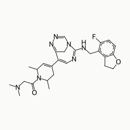 CC1C=C(C2=CN=C(NCc3c(F)ccc4c3CCO4)N3C=NN=C2C3)CC(C)N1C(=O)CN(C)C